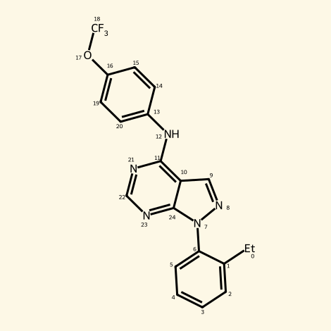 CCc1ccccc1-n1ncc2c(Nc3ccc(OC(F)(F)F)cc3)ncnc21